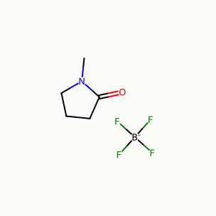 CN1CCCC1=O.F[B-](F)(F)F